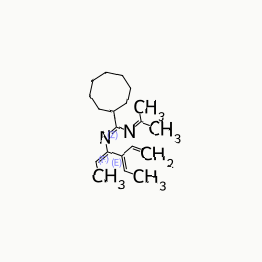 C=CC(=C\C)/C(=C\C)/N=C(\N=C(C)C)C1CCCCCCC1